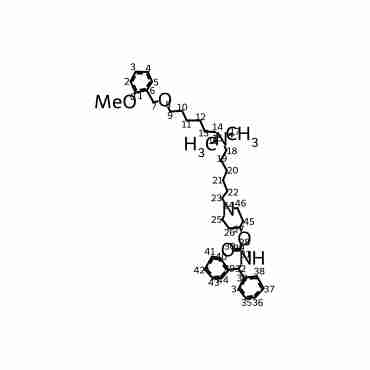 COc1ccccc1COCCCCCC[N+](C)(C)CCCCCCN1CCC(OC(=O)NC(c2ccccc2)c2ccccc2)CC1